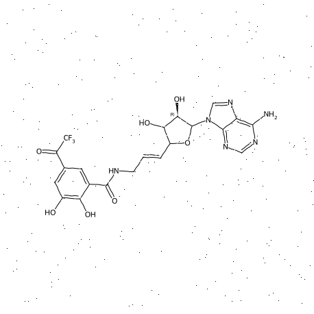 Nc1ncnc2c1ncn2C1OC(C=CCNC(=O)c2cc(C(=O)C(F)(F)F)cc(O)c2O)C(O)[C@H]1O